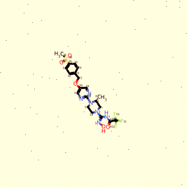 C[C@@H]1CN(/C(=N/O)NC(=O)C(F)(F)F)CCN1c1ncc(OCc2ccc(S(C)(=O)=O)cc2)cn1